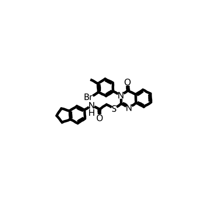 Cc1ccc(-n2c(SCC(=O)Nc3ccc4c(c3)CCC4)nc3ccccc3c2=O)cc1Br